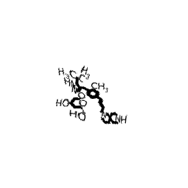 Cc1cc(/C=C/CCN2CCCC3(CCNCC3)C2)ccc1Cc1c(O[C@H]2C[C@@H](O)C[C@@H](CO)O2)n[nH]c1C(C)C